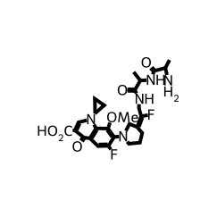 COc1c(N2CCC/C(=C(\F)CNC(=O)C(C)NC(=O)C(C)N)C2)c(F)cc2c(=O)c(C(=O)O)cn(C3CC3)c12